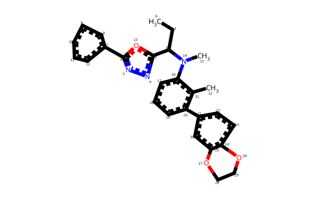 CCC(c1nnc(-c2ccccc2)o1)N(C)c1cccc(-c2ccc3c(c2)OCCO3)c1C